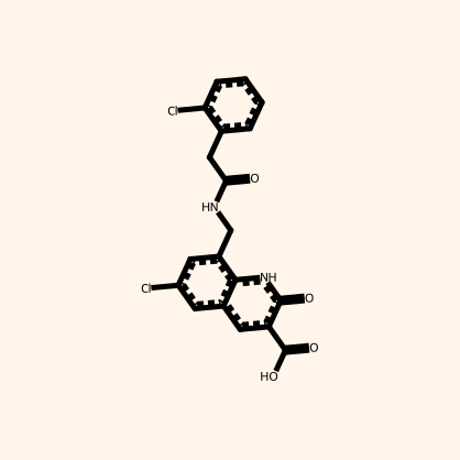 O=C(Cc1ccccc1Cl)NCc1cc(Cl)cc2cc(C(=O)O)c(=O)[nH]c12